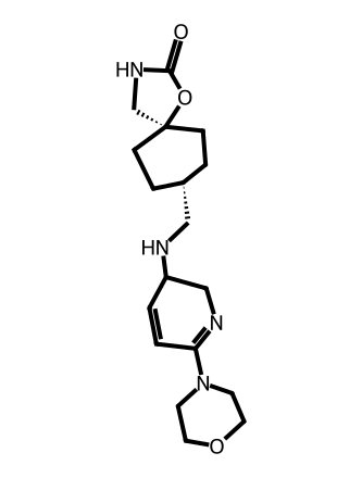 O=C1NC[C@]2(CC[C@@H](CNC3C=CC(N4CCOCC4)=NC3)CC2)O1